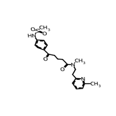 Cc1cccc(CCN(C)C(=O)CCCC(=O)c2ccc(NS(C)(=O)=O)cc2)n1